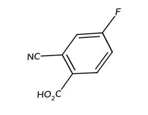 N#Cc1cc(F)ccc1C(=O)O